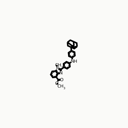 COC(=O)c1cccc2c1nc(-c1ccc(Nc3ccc(C45CC6CC(CC(C6)C4)C5)cc3)cc1)n2C